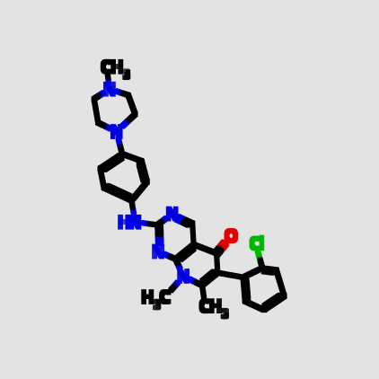 Cc1c(-c2ccccc2Cl)c(=O)c2cnc(Nc3ccc(N4CCN(C)CC4)cc3)nc2n1C